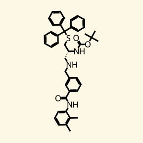 Cc1cccc(NC(=O)c2cccc(CNC[C@H](CSC(c3ccccc3)(c3ccccc3)c3ccccc3)NC(=O)OC(C)(C)C)c2)c1C